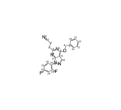 N#CCCc1nc(OCc2ccccc2)c2cnn(-c3ccc(F)cc3F)c2n1